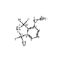 CC[CH]Oc1cccc(C(C)(C)CC)c1C(C)(C)CC